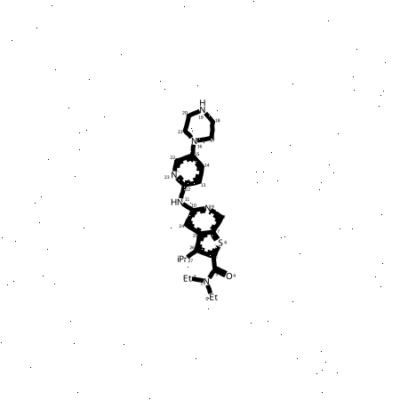 CCN(CC)C(=O)c1sc2cnc(Nc3ccc(N4CCNCC4)cn3)cc2c1C(C)C